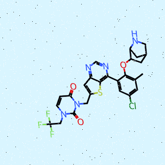 Cc1cc(Cl)cc(-c2ncnc3cc(Cn4c(=O)ccn(CC(F)(F)F)c4=O)sc23)c1OC1CC2CNC1C2